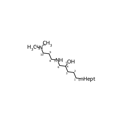 CCCCCCCCCCC(O)CNCCCN(C)C